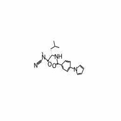 CC(C)C[C@H](NC(=O)c1ccc(-n2cccc2)cc1)C(=O)N(C)C#N